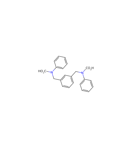 O=C(O)N(Cc1cccc(CN(C(=O)O)c2ccccc2)c1)c1ccccc1